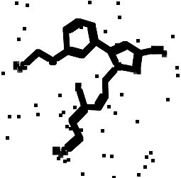 C=C/C=C(F)\C=C/Cn1nc(N)cc1-c1cccc(OCC(F)(F)F)c1